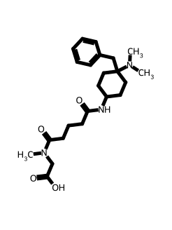 CN(CC(=O)O)C(=O)CCCC(=O)NC1CCC(Cc2ccccc2)(N(C)C)CC1